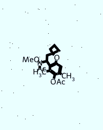 CON(C(C)=O)C1CC2(CCC2)Oc2cc(C)c(OC(C)=O)c(C)c21